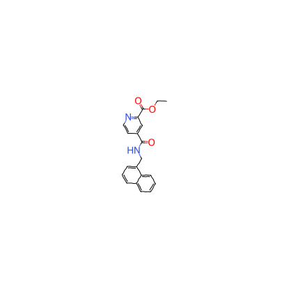 CCOC(=O)c1cc(C(=O)NCc2cccc3ccccc23)ccn1